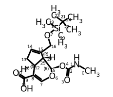 CNC(=O)O[C@H]1OC=C(C(=O)O)[C@H]2CC=C(CO[Si](C)(C)C(C)(C)C)[C@H]12